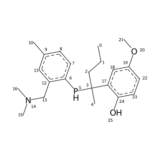 CCCC(C)(Pc1ccc(C)cc1CN(C)C)c1cc(OC)ccc1O